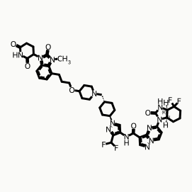 Cn1c(=O)n(C2CCC(=O)NC2=O)c2cccc(CCCOC3CCN(C[C@H]4CC[C@H](n5cc(NC(=O)c6cnn7ccc(N8C(=O)N[C@@H]9[C@H]8CCCC9(F)F)nc67)c(C(F)F)n5)CC4)CC3)c21